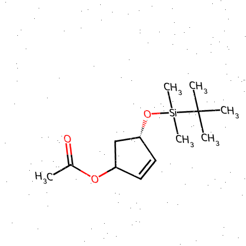 CC(=O)OC1C=C[C@@H](O[Si](C)(C)C(C)(C)C)C1